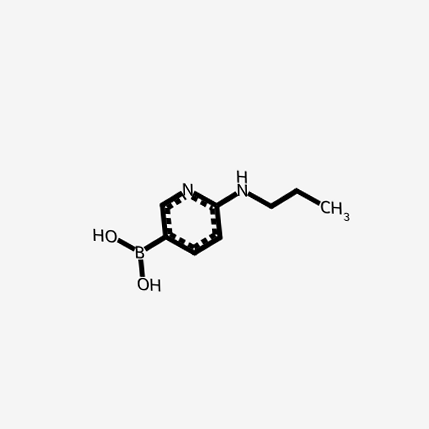 CCCNc1ccc(B(O)O)cn1